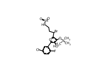 C[Si](C)(C)Oc1c(C(Br)CCN[SH](=O)=O)oc(-c2cc(Cl)ccc2F)c1O